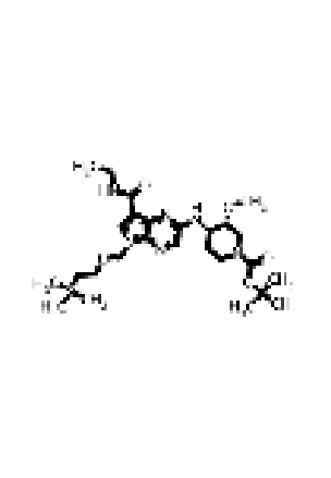 CCNC(=O)c1cn(COCC[Si](C)(C)C)c2ncc(N[C@@H]3CCN(C(=O)OC(C)(C)C)C[C@H]3OC)nc12